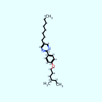 CCCCCCCCc1cnc(-c2ccc(OCCC[C@@H](C)CC)cc2)nc1